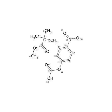 COC(=O)C(C)(C)C.O=C(O)Oc1ccc([N+](=O)[O-])cc1